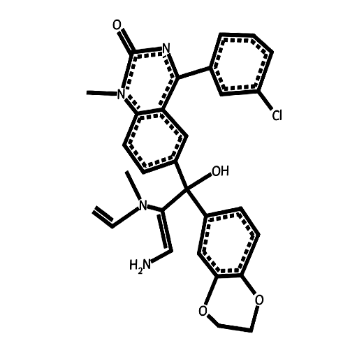 C=CN(C)/C(=C\N)C(O)(c1ccc2c(c1)OCCO2)c1ccc2c(c1)c(-c1cccc(Cl)c1)nc(=O)n2C